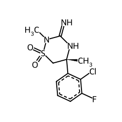 CN1C(=N)N[C@](C)(c2cccc(F)c2Cl)CS1(=O)=O